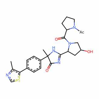 CC(=O)N1CCCC1C(=O)N1CC(O)CC1C1=NC(=O)C(C)(c2ccc(-c3scnc3C)cc2)N1